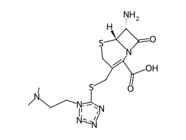 CN(C)CCn1nnnc1SCC1=C(C(=O)O)N2C(=O)[C@@H](N)[C@H]2SC1